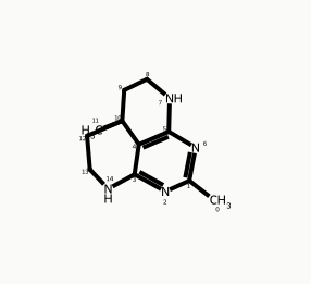 Cc1nc2c3c(n1)NCCC3(C)CCN2